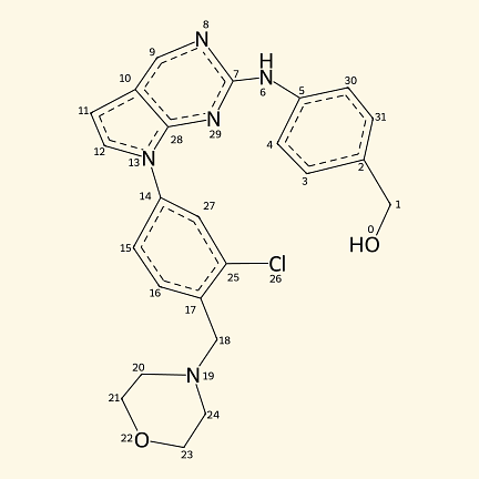 OCc1ccc(Nc2ncc3ccn(-c4ccc(CN5CCOCC5)c(Cl)c4)c3n2)cc1